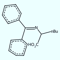 CCCCC(N=C(c1ccccc1)c1ccccc1)C(=O)O